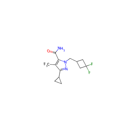 NC(=O)c1c(C(F)(F)F)c(C2CC2)nn1CC1CC(F)(F)C1